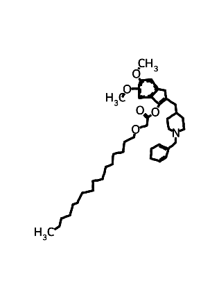 CCCCCCCCCCCCCCCCOCC(=O)OC1=C(CC2CCN(CC3=CCCC=C3)CC2)Cc2cc(OC)c(OC)cc21